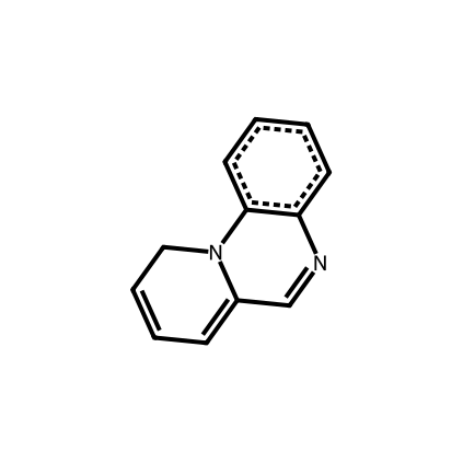 C1=CCN2C(=C1)C=Nc1ccccc12